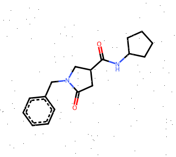 O=C(NC1CCCC1)C1CC(=O)N(Cc2ccccc2)C1